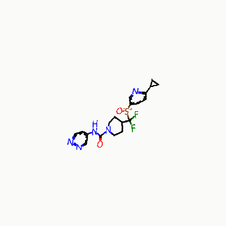 O=C(Nc1ccnnc1)N1CCC(C(F)(F)[S+]([O-])c2ccc(C3CC3)nc2)CC1